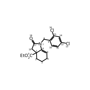 CCOC(=O)C12CCCC=C1N(Cc1ccc(Cl)cc1Cl)C(=O)C2